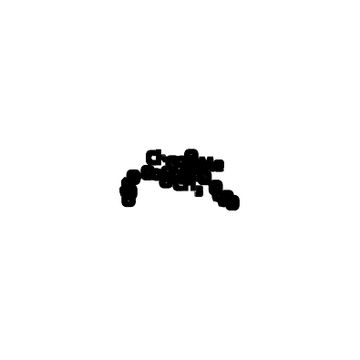 COC(=O)c1ccc(OCCCCl)cc1.Cc1cc(OC(=O)c2ccc(OCCCOc3ccc4ccc(=O)oc4c3)cc2)ccc1OC(=O)c1ccc(OCCCOc2ccc3ccc(=O)oc3c2)cc1